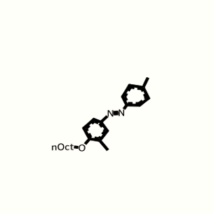 CCCCCCCCOc1ccc(N=Nc2ccc(C)cc2)cc1C